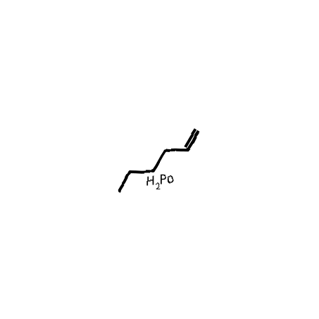 C=CCCCC.[PoH2]